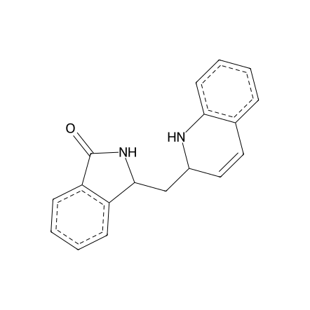 O=C1NC(CC2C=Cc3ccccc3N2)c2ccccc21